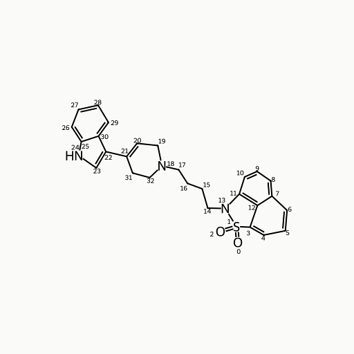 O=S1(=O)c2cccc3cccc(c23)N1CCCCN1CC=C(c2c[nH]c3ccccc23)CC1